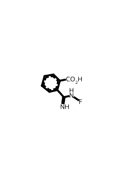 N=C(NF)c1ccccc1C(=O)O